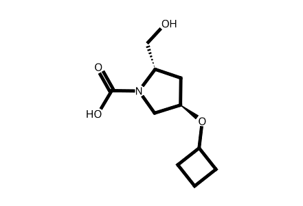 O=C(O)N1C[C@H](OC2CCC2)C[C@H]1CO